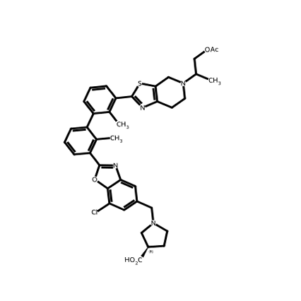 CC(=O)OCC(C)N1CCc2nc(-c3cccc(-c4cccc(-c5nc6cc(CN7CC[C@@H](C(=O)O)C7)cc(Cl)c6o5)c4C)c3C)sc2C1